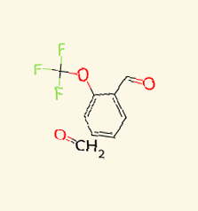 C=O.O=Cc1ccccc1OC(F)(F)F